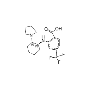 O=C(O)c1ccc(C(F)(F)F)cc1N[C@H]1CCCC[C@@H]1N1CCCC1